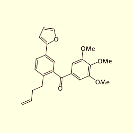 C=CCCc1ccc(-c2ccco2)cc1C(=O)c1cc(OC)c(OC)c(OC)c1